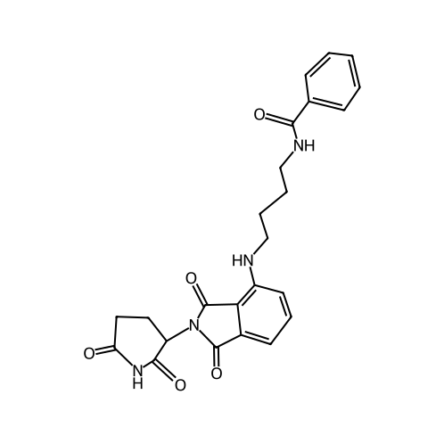 O=C1CCC(N2C(=O)c3cccc(NCCCCNC(=O)c4ccccc4)c3C2=O)C(=O)N1